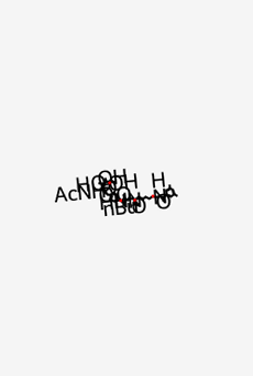 CCCCC(=O)N(CCCCCCNC(=O)c1cc(C)cc(C)c1)CCC(=O)Nc1ccc(OC2OC(CO)C(O)C(O)C2NC(C)=O)cc1